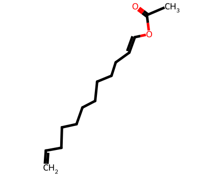 C=CCCCCCCCCC=COC(C)=O